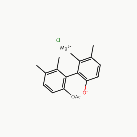 CC(=O)Oc1ccc(C)c(C)c1-c1c([O-])ccc(C)c1C.[Cl-].[Mg+2]